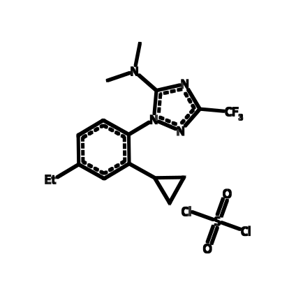 CCc1ccc(-n2nc(C(F)(F)F)nc2N(C)C)c(C2CC2)c1.O=S(=O)(Cl)Cl